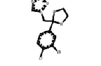 Clc1ccc(C2(Cn3cncn3)OCCO2)cc1Cl